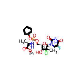 CC(C)OC(=O)[C@@H](C)N[P@](=O)(OC[C@H]1O[C@@H](n2cc(F)c(=O)[nH]c2=O)[C@](C)(Cl)[C@@H]1O)Oc1ccccc1